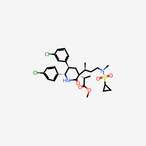 COC(=O)C(C)[C@@]1([C@@H](C)CCN(C)S(=O)(=O)C2CC2)C[C@H](c2cccc(Cl)c2)[C@@H](c2ccc(Cl)cc2)NC1=O